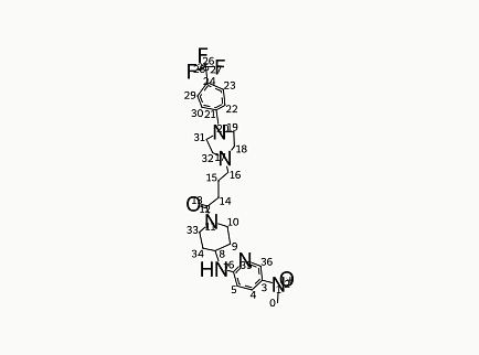 C[N+](=O)c1ccc(NC2CCN(C(=O)CCCN3CCN(c4ccc(C(F)(F)F)cc4)CC3)CC2)nc1